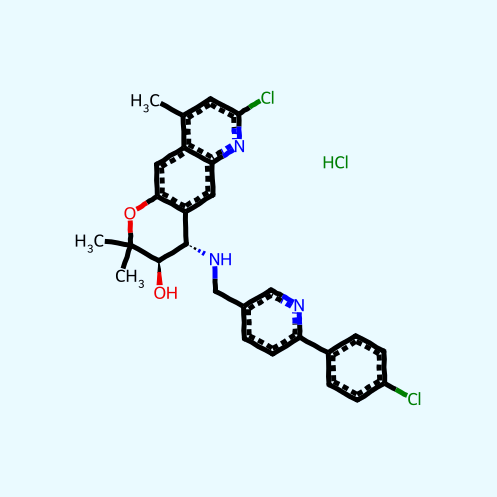 Cc1cc(Cl)nc2cc3c(cc12)OC(C)(C)[C@H](O)[C@H]3NCc1ccc(-c2ccc(Cl)cc2)nc1.Cl